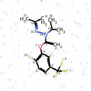 C=C(Oc1cc(C(F)(F)F)ccc1F)N(N=C(C)C)C(C)C